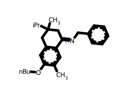 CCCCOc1cc2c(cc1C)/C(=N/Cc1ccccc1)CC(C)(C(C)C)C2